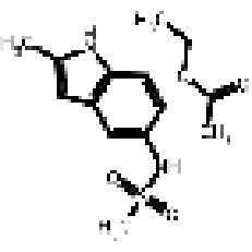 CCOC(C)=O.Cc1cc2cc(NS(C)(=O)=O)ccc2[nH]1